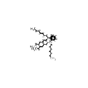 CCCCCCCP(CCCCCCC)[C]12[CH]3[CH]4[CH]5[C]1(P(CCCCCCC)CCCCCCC)[Ti]43521678[CH]2[CH]1[CH]6[CH]7[CH]28